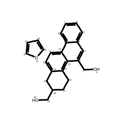 OCc1cc2ccccc2c2ccc3c(c12)CCC(CO)C3.c1ccoc1